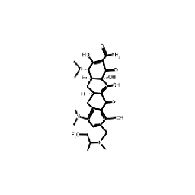 CC(CC(F)(F)F)N(C)Cc1cc(N(C)C)c2c(c1O)C(=O)C1=C(O)[C@]3(O)C(=O)C(C(N)=O)=C(O)[C@@H](N(C)C)[C@@H]3C[C@@H]1C2